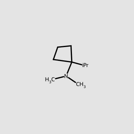 CC(C)C1(N(C)C)CCC1